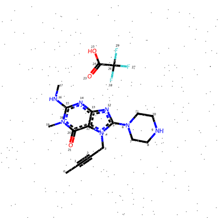 CC#CCn1c(N2CCNCC2)nc2nc(NC)n(C)c(=O)c21.O=C(O)C(F)(F)F